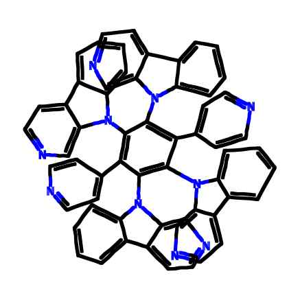 c1ccc2c(c1)c1ccncc1n2-c1c(-c2ccncc2)c(-n2c3ccccc3c3ccncc32)c(-n2c3ccccc3c3ccncc32)c(-c2ccncc2)c1-n1c2ccccc2c2ccncc21